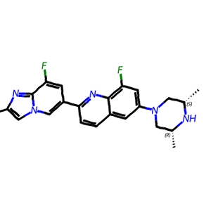 Cc1cn2cc(-c3ccc4cc(N5C[C@@H](C)N[C@@H](C)C5)cc(F)c4n3)cc(F)c2n1